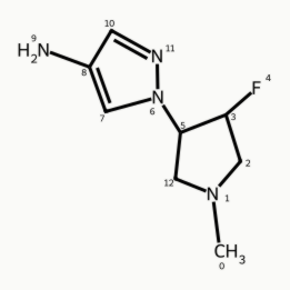 CN1CC(F)C(n2cc(N)cn2)C1